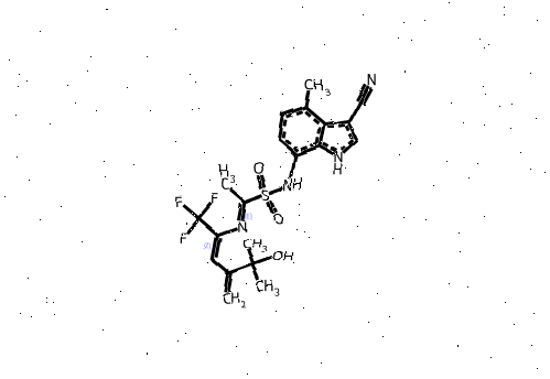 C=C(/C=C(\N=C(/C)S(=O)(=O)Nc1ccc(C)c2c(C#N)c[nH]c12)C(F)(F)F)C(C)(C)O